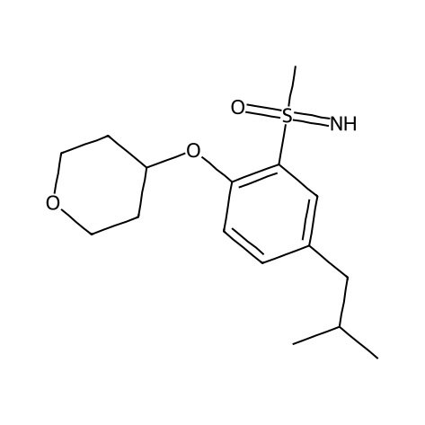 CC(C)Cc1ccc(OC2CCOCC2)c(S(C)(=N)=O)c1